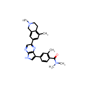 CCCN1CCc2c(C)cc(-c3cnc4[nH]cc(-c5ccc(C(=O)N(C)C)c(C)c5)c4n3)cc2C1